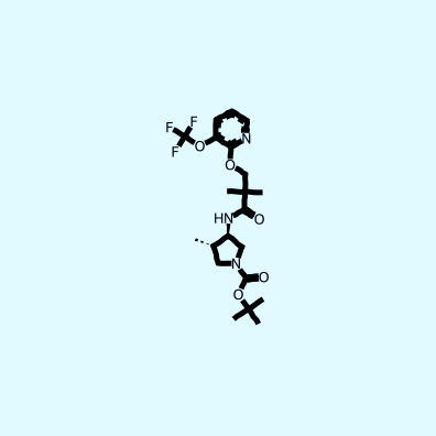 C[C@H]1CN(C(=O)OC(C)(C)C)C[C@@H]1NC(=O)C(C)(C)COc1ncccc1OC(F)(F)F